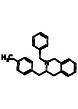 Cc1ccc(CC2Cc3ccccc3CN2Cc2ccccc2)cc1